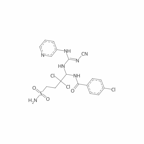 N#C/N=C(\Nc1cccnc1)NC(NC(=O)c1ccc(Cl)cc1)C(Cl)(Cl)CCS(N)(=O)=O